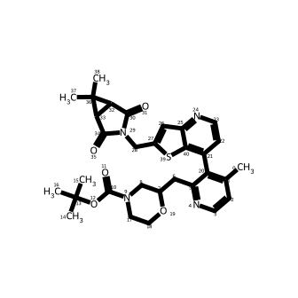 Cc1ccnc(CC2CN(C(=O)OC(C)(C)C)CCO2)c1-c1ccnc2cc(CN3C(=O)C4C(C3=O)C4(C)C)sc12